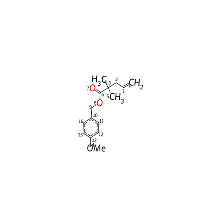 C=CCC(C)(C)C(=O)OCc1ccc(OC)cc1